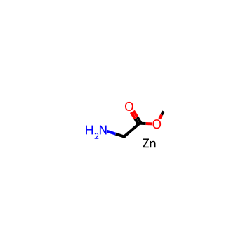 COC(=O)CN.[Zn]